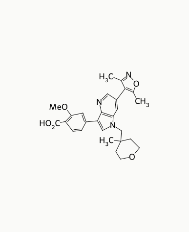 COc1cc(-c2cn(CC3(C)CCOCC3)c3cc(-c4c(C)noc4C)cnc23)ccc1C(=O)O